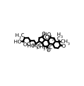 CC(CC(=O)CC(C)(O)C1CC(=O)C2(C)C3=C(C(=O)CC12C)C1(C)CCC(=O)C(C)(C)C1CC3O)C(=O)O